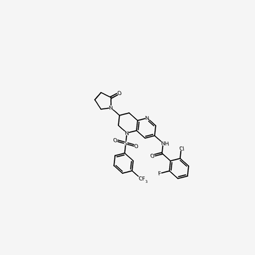 O=C(Nc1cnc2c(c1)N(S(=O)(=O)c1cccc(C(F)(F)F)c1)CC(N1CCCC1=O)C2)c1c(F)cccc1Cl